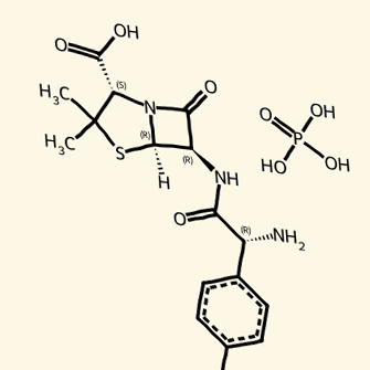 CC1(C)S[C@@H]2[C@H](NC(=O)[C@H](N)c3ccc(O)cc3)C(=O)N2[C@H]1C(=O)O.O=P(O)(O)O